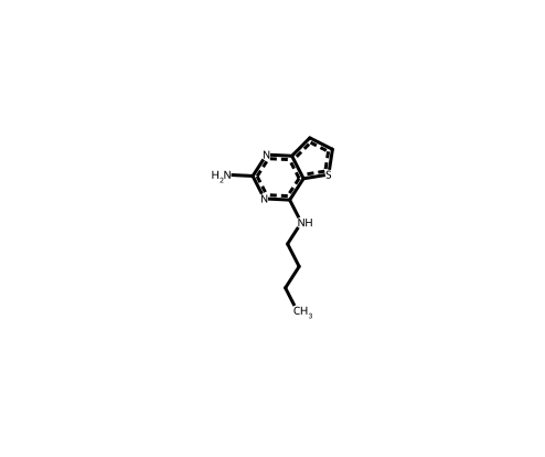 CCCCNc1nc(N)nc2ccsc12